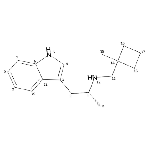 C[C@H](Cc1c[nH]c2ccccc12)NCC1(C)CCC1